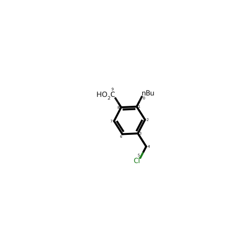 CCCCc1cc(CCl)ccc1C(=O)O